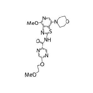 COCCOc1cnc(C(=O)Nc2nc3c(OC)ncc(N4CCOCC4)c3s2)cn1